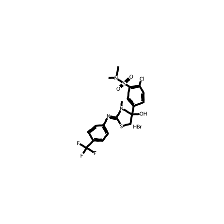 Br.CN1C(=Nc2ccc(C(F)(F)F)cc2)SCC1(O)c1ccc(Cl)c(S(=O)(=O)N(C)C)c1